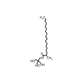 CCCCCCCCCCCCCCCCC(C)C(=O)OCC(CO)(CO)CO